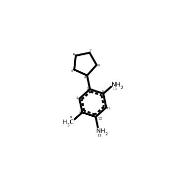 Cc1cc(C2CCCC2)c(N)cc1N